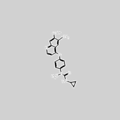 COc1cc2nccc(Oc3ccc(N(C)C(=O)NC4CC4)cc3)c2cc1C